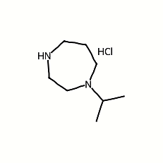 CC(C)N1CCCNCC1.Cl